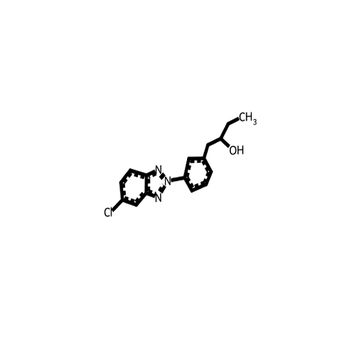 CCC(O)Cc1cccc(-n2nc3ccc(Cl)cc3n2)c1